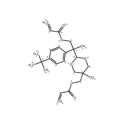 C=CC(=O)OCC1(C)COC(C(C)(COC(=O)C=C)c2ccc(C(C)(C)C)cc2)OC1